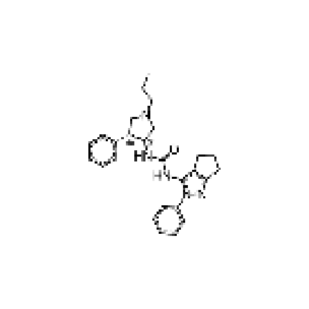 CCCN1C[C@@H](NC(=O)Nc2c3c(nn2-c2ccccc2)CCC3)[C@H](c2ccccc2)C1